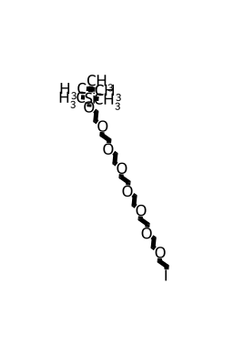 CC(C)(C)[Si](C)(C)OCCOCCOCCOCCOCCOCCOCCOCCI